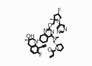 C#Cc1c(F)ccc2c1N([C@H]1CCc3c(nc(OC[C@]4(C)C[C@@H](F)CN4c4cncnc4)nc3N(C)C[C@@H]3CCCN3C(=O)C=C)C1)C[C@@](C)(O)C2